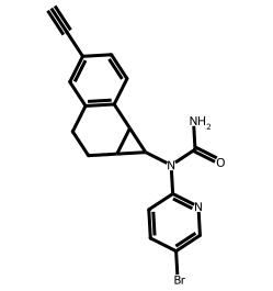 C#Cc1ccc2c(c1)CCC1C2C1N(C(N)=O)c1ccc(Br)cn1